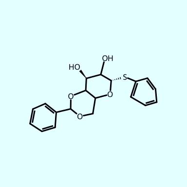 OC1[C@H](O)C2OC(c3ccccc3)OCC2O[C@H]1Sc1ccccc1